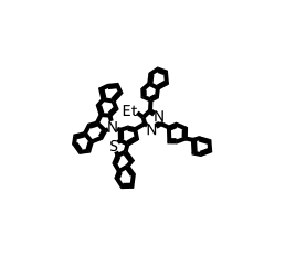 CCC1C(c2ccc3ccccc3c2)=NC(c2ccc(-c3ccccc3)cc2)=NC1c1cc(-n2c3cc4ccccc4cc3c3cc4ccccc4cc32)c2sc3cc4ccccc4cc3c2c1